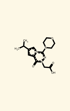 CC(C)c1cc2c(=O)n(CC(=O)O)nc(N3CCOCC3)n2c1